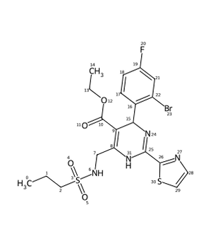 CCCS(=O)(=O)NCC1=C(C(=O)OCC)C(c2ccc(F)cc2Br)N=C(c2nccs2)N1